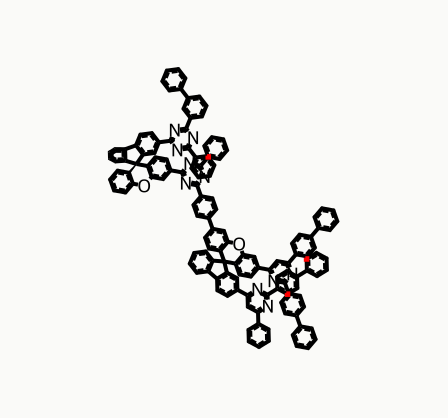 c1ccc(-c2ccc(-c3cc(-c4ccc5c(c4)Oc4cc(-c6ccc(-c7nc(-c8ccccc8)nc(-c8ccc9c(c8)Oc8ccccc8[C@]98c9ccccc9-c9ccc(-c%10nc(-c%11ccccc%11)nc(-c%11cccc(-c%12ccccc%12)c%11)n%10)cc98)n7)cc6)ccc4C54c5ccccc5-c5ccc(-c6cc(-c7ccccc7)nc(-c7ccc(-c8ccccc8)cc7)n6)cc54)nc(-c4ccc(-c5ccccc5)cc4)n3)cc2)cc1